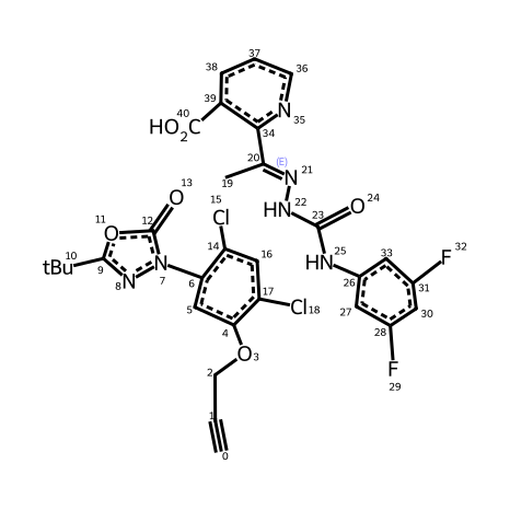 C#CCOc1cc(-n2nc(C(C)(C)C)oc2=O)c(Cl)cc1Cl.C/C(=N\NC(=O)Nc1cc(F)cc(F)c1)c1ncccc1C(=O)O